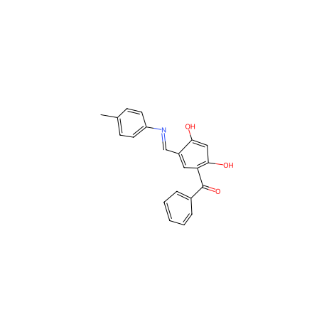 Cc1ccc(/N=C/c2cc(C(=O)c3ccccc3)c(O)cc2O)cc1